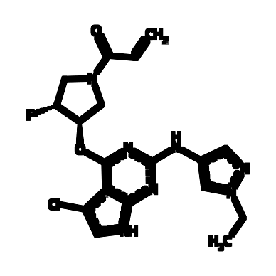 C=CC(=O)N1C[C@@H](F)[C@H](Oc2nc(Nc3cnn(CC)c3)nc3[nH]cc(Cl)c23)C1